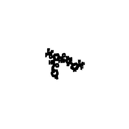 CN1CCN(CC(=O)Nc2cc(C(=O)Nc3nnc(-c4cncc(C(F)(F)F)c4)s3)ccc2OC(F)(F)F)CC1